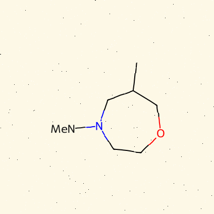 CNN1CCOCC(C)C1